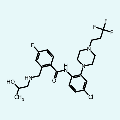 CC(O)CNCc1cc(F)ccc1C(=O)Nc1ccc(Cl)cc1N1CCN(CCC(F)(F)F)CC1